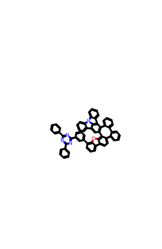 c1ccc(-c2nc(-c3ccccc3)nc(-c3cccc(-c4cccc5c4oc4c6c(ccc45)-c4ccccc4-c4ccccc4-c4c-6cc5c6ccccc6n6c7ccccc7c4c56)c3)n2)cc1